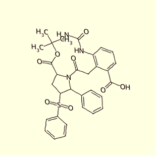 CC(C)(C)OC(=O)C1CC(S(=O)(=O)c2ccccc2)C(c2ccccc2)N1C(=O)Cc1c(NC(N)=O)cccc1C(=O)O